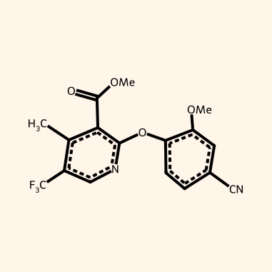 COC(=O)c1c(Oc2ccc(C#N)cc2OC)ncc(C(F)(F)F)c1C